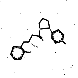 N[C@@H](CC(=O)N1CCC[C@H]1c1ccc(F)cc1)Cc1ccccc1F